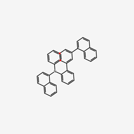 c1ccc(N(c2ccccc2-c2cccc(-c3cccc4ccccc34)c2)c2cccc3ccccc23)cc1